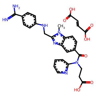 Cn1c(CNc2ccc(C(=N)N)cc2)nc2cc(C(=O)N(CCC(=O)O)c3ccccn3)ccc21.O=C(O)/C=C/C(=O)O